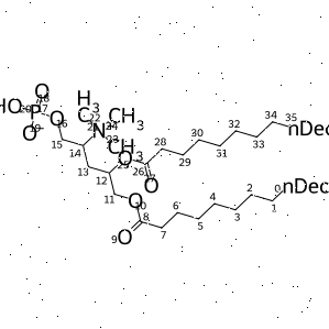 CCCCCCCCCCCCCCCCCC(=O)OCC(CC(COP(=O)([O-])O)[N+](C)(C)C)OC(=O)CCCCCCCCCCCCCCCCC